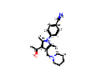 CC(=O)c1c(CN2CCCCC2)c(C)n(-c2ccc(C#N)cc2)c1C